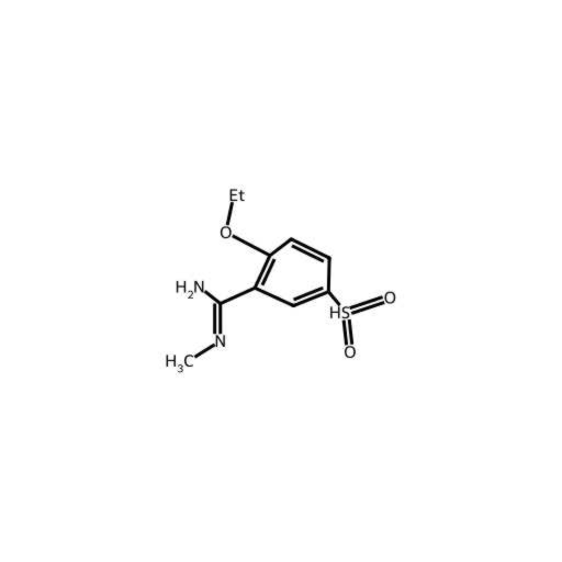 CCOc1ccc([SH](=O)=O)cc1/C(N)=N/C